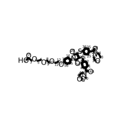 O=C(O)COCCOCCOCCOc1ccc(N2C(=O)C(Sc3ccc(C(=O)N4CCOCC4)cc3)=C(Sc3ccc(C(=O)N4CCOCC4)cc3)C2=O)cc1